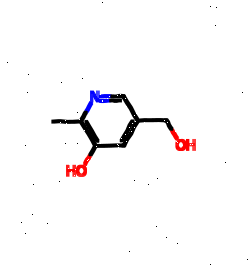 Cc1ncc(CO)cc1O